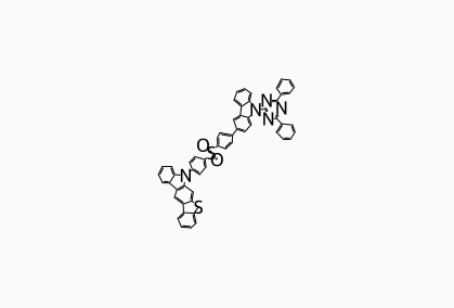 O=S(=O)(c1ccc(-c2ccc3c(c2)c2ccccc2n3-c2nc(-c3ccccc3)nc(-c3ccccc3)n2)cc1)c1ccc(-n2c3ccccc3c3cc4c(cc32)sc2ccccc24)cc1